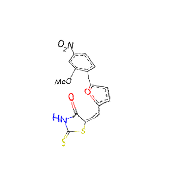 COc1cc([N+](=O)[O-])ccc1-c1ccc(C=C2SC(=S)NC2=O)o1